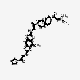 Cc1c2nc(NCC(=O)N3CCCC3)sc2cc2sc(NCC(=O)N3CCC4(CC3)CCN(C(=O)CN(C)C)CC4)nc12